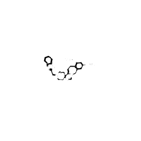 CCN1C(=O)N2Cc3cc(OC)cc(OC)c3[C@@H](C)C=C2C12CCN(Cc1nc3ccccc3o1)CC2